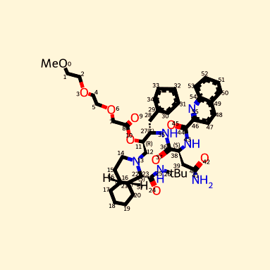 COCCOCCOCC(=O)O[C@H](CN1CC[C@H]2CCCC[C@H]2[C@H]1C(=O)NC(C)(C)C)[C@H](Cc1ccccc1)NC(=O)[C@H](CC(N)=O)NC(=O)c1ccc2ccccc2n1